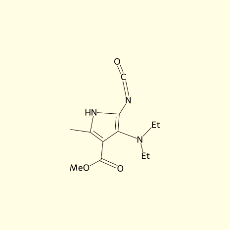 CCN(CC)c1c(N=C=O)[nH]c(C)c1C(=O)OC